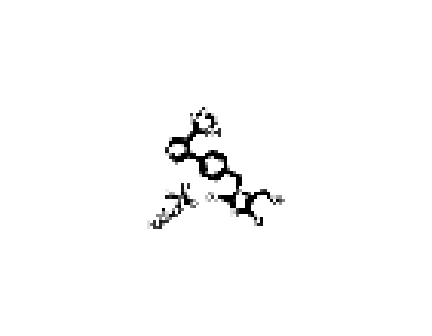 CCCCc1nc(Cl)c(CO)n1Cc1ccc(-c2cscc2-c2nnn[nH]2)cc1.O=P([O-])([O-])[O-].[Na+].[Na+].[Na+]